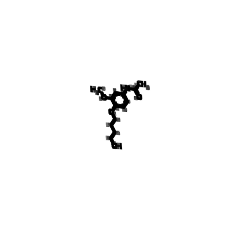 COc1cc(NC(C)=O)ccc1OCCCCO